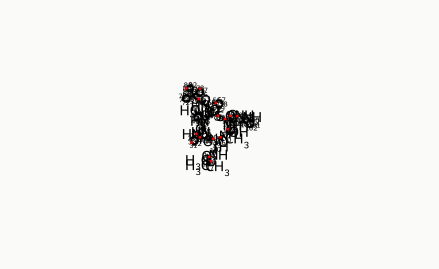 C[C@@H](O)[C@@H]1NC(=O)[C@H](CCCCNC(=O)OC(C)(C)C)NC(=O)[C@@H](Cc2c[nH]c3ccccc23)NC(=O)[C@H](Cc2ccc(O)cc2)NC(=O)[C@@H](NC(=O)[C@@H](Cc2ccccc2)NC(=O)CCSC(c2ccccc2)(c2ccccc2)c2ccccc2)CSSC[C@@H](C(=O)N[C@@H](Cc2c[nH]c3ccccc23)C(N)=O)NC1=O